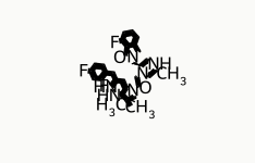 C[C@@H]1CN(CC(=O)N2CC(C)(C)C(=N)/C2=C\C(=N)Cc2ccc(F)cc2F)[C@@H](CN2Cc3cccc(F)c3C2=O)CN1